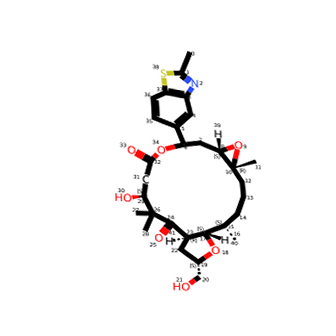 Cc1nc2cc(C3C[C@@H]4O[C@]4(C)CCC[C@H](C)[C@@H]4O[C@H](CO)C[C@H]4C(=O)C(C)(C)[C@@H](O)CC(=O)O3)ccc2s1